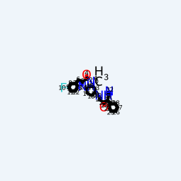 CCN(C(=O)c1cc2cc(F)ccc2[nH]1)[C@H]1CCC[C@@H](NCc2oc3ccccc3c2C#N)C1